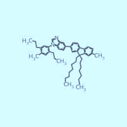 CCCCCCCCC1(CCCCCCCC)c2cc(C)ccc2-c2ccc(-c3ccc4c(c3)ncn4-c3cc(CCC)c(C)cc3CCC)cc21